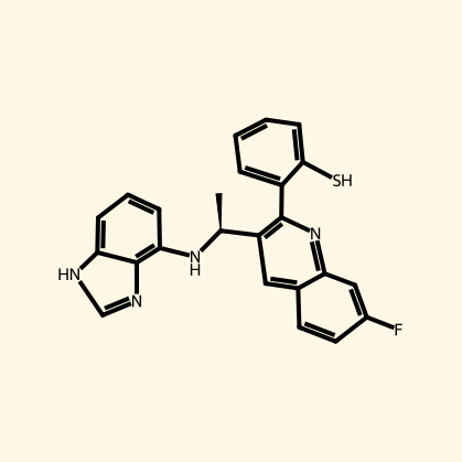 C[C@H](Nc1cccc2[nH]cnc12)c1cc2ccc(F)cc2nc1-c1ccccc1S